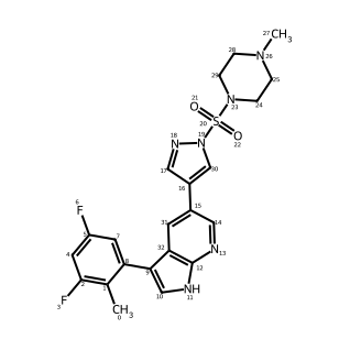 Cc1c(F)cc(F)cc1-c1c[nH]c2ncc(-c3cnn(S(=O)(=O)N4CCN(C)CC4)c3)cc12